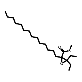 CCCCCCCCCCCCCCC1(C(=O)SC)OC1(CC)CC